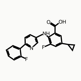 O=C(O)c1cc(C2CC2)cc(F)c1Nc1ccc(-c2ccccc2F)nc1